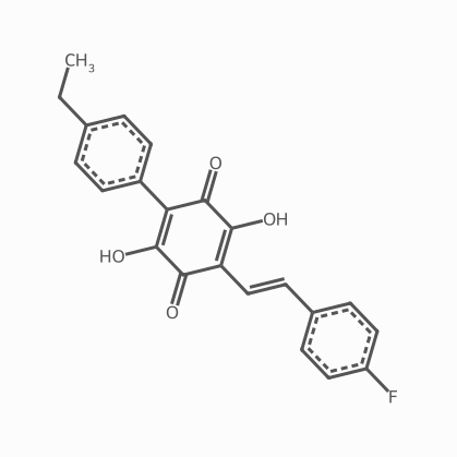 CCc1ccc(C2=C(O)C(=O)C(C=Cc3ccc(F)cc3)=C(O)C2=O)cc1